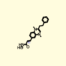 CN1C=C(CCc2ccccc2)N(C)c2ccc(/C=C/C(=O)NO)cc21